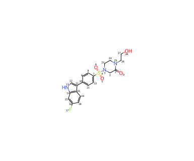 O=C1CN(S(=O)(=O)c2ccc(-c3c[nH]c4cc(F)ccc34)cc2)CCN1CCO